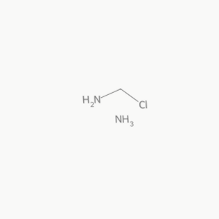 N.NCCl